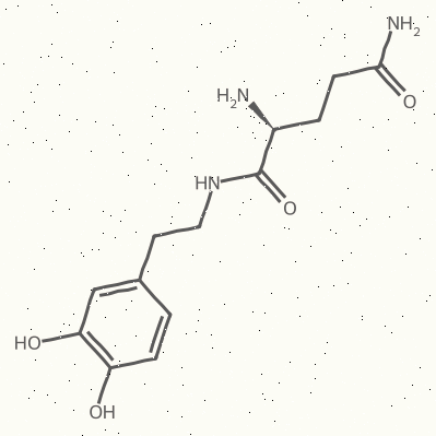 NC(=O)CC[C@H](N)C(=O)NCCc1ccc(O)c(O)c1